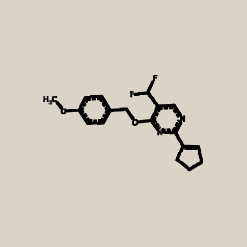 COc1ccc(COc2nc(C3=CCCC3)ncc2C(F)F)cc1